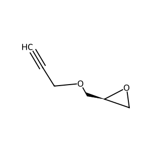 C#CCOC[C@@H]1CO1